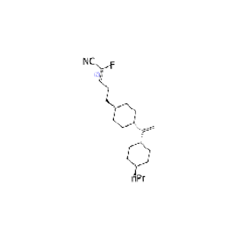 C=C([C@H]1CC[C@H](CCC)CC1)[C@H]1CC[C@H](CC/C=C(\F)C#N)CC1